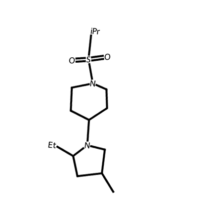 CCC1CC(C)CN1C1CCN(S(=O)(=O)C(C)C)CC1